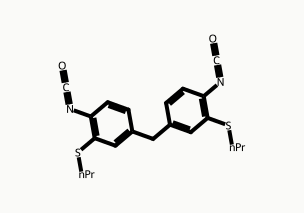 CCCSc1cc(Cc2ccc(N=C=O)c(SCCC)c2)ccc1N=C=O